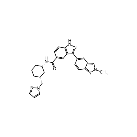 Cn1cc2cc(-c3n[nH]c4ccc(C(=O)N[C@H]5CCC[C@@H](Cn6cccn6)C5)cc34)ccc2n1